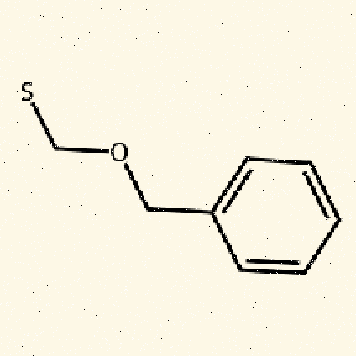 [S]COCc1ccccc1